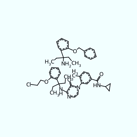 CCC(CC)(Nc1nccn(-c2cc(C(=O)NC3CC3)ccc2C)c1=O)c1ccccc1OCCCl.CCC(N)(CC)c1ccccc1OCc1ccccc1